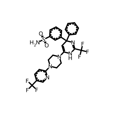 NS(=O)(=O)c1cccc(C2(c3ccccc3)C=C(N3CCN(c4ccc(C(F)(F)F)cn4)CC3)NC(C(F)(F)F)=N2)c1